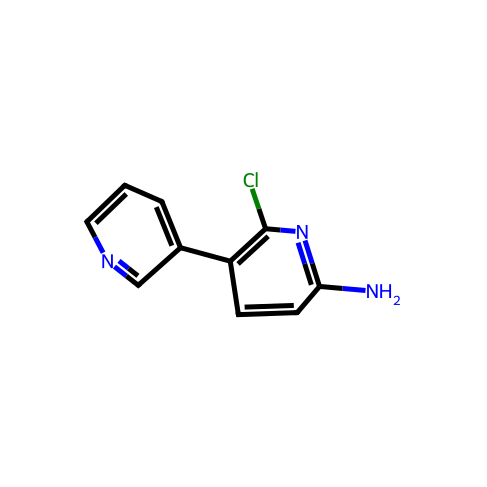 Nc1ccc(-c2cccnc2)c(Cl)n1